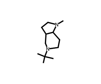 CN1CCC2CN(C(C)(C)C)CCC21